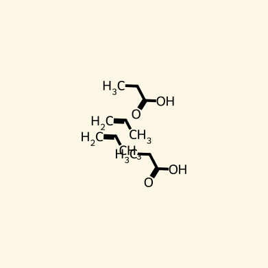 C=CC.C=CC.CCC(=O)O.CCC(=O)O